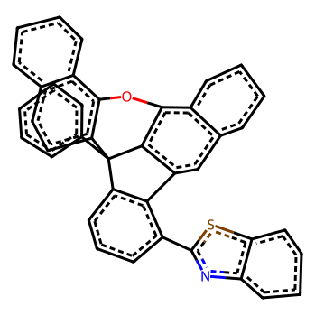 c1ccc(C23c4cccc(-c5nc6ccccc6s5)c4-c4cc5ccccc5c(c42)Oc2c3ccc3ccccc23)cc1